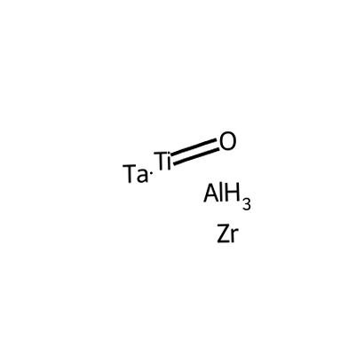 [AlH3].[O]=[Ti].[Ta].[Zr]